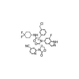 N#Cc1ccnc(N2C(=O)OC[C@H]2C(=O)N(c2cc(F)c3[nH]ncc3c2)[C@H](C(=O)NC2CCC(F)(F)CC2)c2cccc(CCl)c2)c1